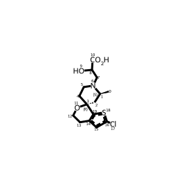 C[C@H]1C[C@@]2(CCN1CC(O)C(=O)O)OCCc1cc(Cl)sc12